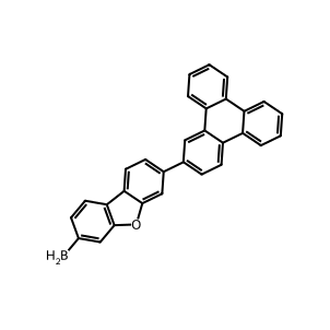 Bc1ccc2c(c1)oc1cc(-c3ccc4c5ccccc5c5ccccc5c4c3)ccc12